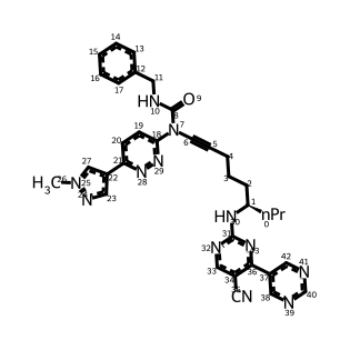 CCC[C@H](CCCC#CN(C(=O)NCc1ccccc1)c1ccc(-c2cnn(C)c2)nn1)Nc1ncc(C#N)c(-c2cncnc2)n1